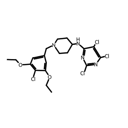 CCOc1cc(CN2CCC(Nc3nc(Cl)nc(Cl)c3Cl)CC2)cc(OCC)c1Cl